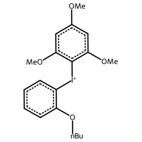 CCCCOc1ccccc1[I+]c1c(OC)cc(OC)cc1OC